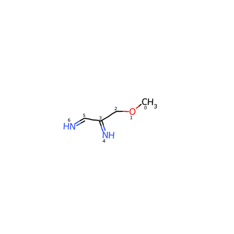 COCC(=N)C=N